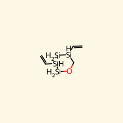 C=C[SiH]1CO[SiH2][SiH](C=C)[SiH2]1